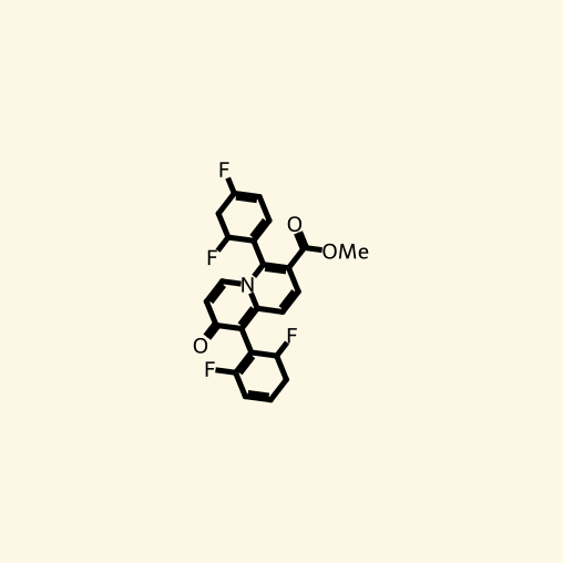 COC(=O)c1ccc2c(C3=C(F)C=CCC3F)c(=O)ccn2c1C1=CC=C(F)CC1F